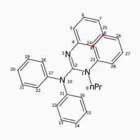 CCCN(C(=Nc1ccccc1)N(c1ccccc1)c1ccccc1)c1ccccc1